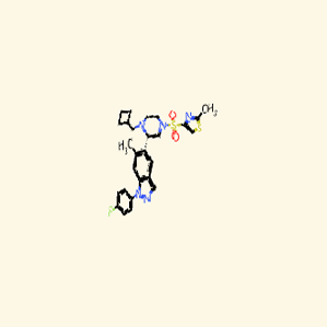 Cc1nc(S(=O)(=O)N2CCN(CC3CCC3)[C@@H](c3cc4cnn(-c5ccc(F)cc5)c4cc3C)C2)cs1